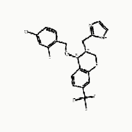 FC(F)(F)c1ccc2c(c1)SC[C@H](Cc1ncc[nH]1)[C@@H]2OCc1ccc(Cl)cc1Cl